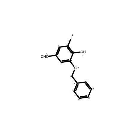 O=Cc1cc(I)c(O)c(OCc2ccccc2)c1